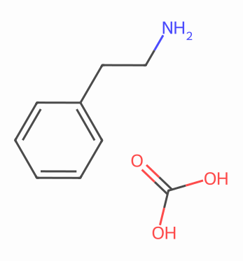 NCCc1ccccc1.O=C(O)O